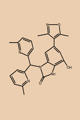 Cc1cccc(C(c2cccc(C)n2)n2c(=O)[nH]c3c(O)cc(-c4c(C)noc4C)cc32)n1